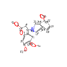 COC(=O)CC(c1ccc(OC)c(OC)c1)N1C=C2C=CCC(=O)C2C1